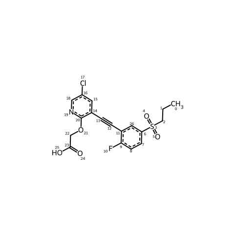 CCCS(=O)(=O)c1ccc(F)c(C#Cc2cc(Cl)cnc2OCC(=O)O)c1